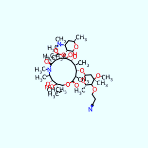 CC[C@H]1OC(=O)[C@H](C)[C@@H](O[C@H]2C[C@@](C)(OC)C(OCCC#N)[C@H](C)O2)[C@H](C)[C@@H](O[C@@H]2O[C@H](C)C[C@H](N(C)C)[C@H]2OC(C)=O)[C@](C)(O)C[C@@H](C)C(=O)N(C)[C@H](C)[C@@H](OC)[C@]1(C)O